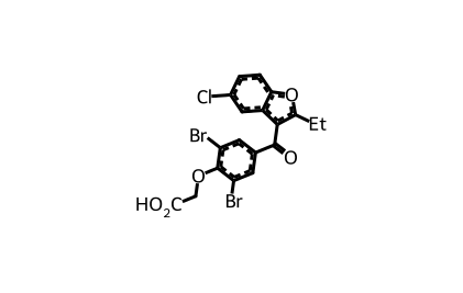 CCc1oc2ccc(Cl)cc2c1C(=O)c1cc(Br)c(OCC(=O)O)c(Br)c1